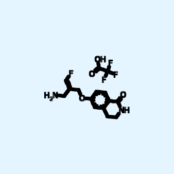 NC/C(=C/F)COc1ccc2c(c1)CCNC2=O.O=C(O)C(F)(F)F